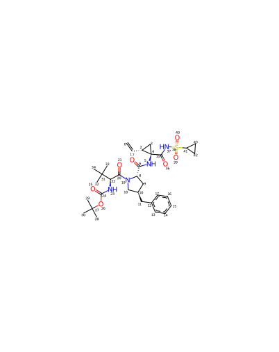 C=C[C@@H]1C[C@]1(NC(=O)[C@@H]1C[C@@H](Cc2ccccc2)CN1C(=O)[C@@H](NC(=O)OC(C)(C)C)C(C)(C)C)C(=O)NS(=O)(=O)C1CC1